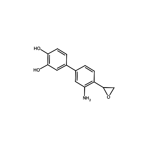 Nc1cc(-c2ccc(O)c(O)c2)ccc1C1CO1